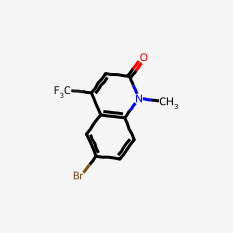 Cn1c(=O)cc(C(F)(F)F)c2cc(Br)ccc21